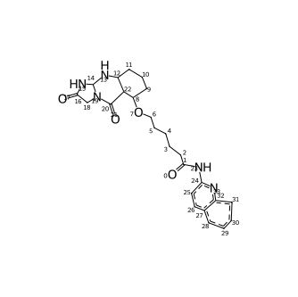 O=C(CCCCCOC1CCCC2NC3NC(=O)CN3C(=O)C21)Nc1ccc2ccccc2n1